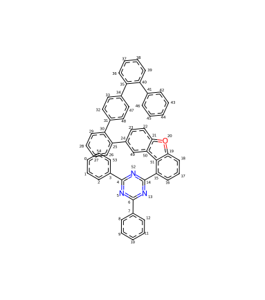 c1ccc(-c2nc(-c3ccccc3)nc(-c3cccc4oc5ccc(-c6ccccc6-c6ccc(-c7ccccc7-c7ccccc7)cc6)cc5c34)n2)cc1